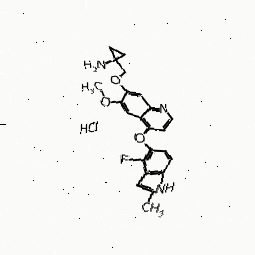 COc1cc2c(Oc3ccc4[nH]c(C)cc4c3F)ccnc2cc1OCC1(N)CC1.Cl